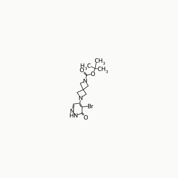 CC(C)(C)OC(=O)N1CC2(C1)CN(c1cn[nH]c(=O)c1Br)C2